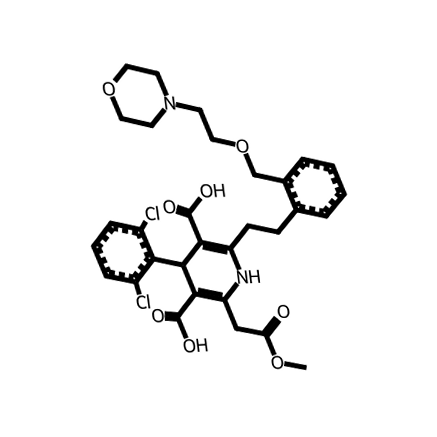 COC(=O)CC1=C(C(=O)O)C(c2c(Cl)cccc2Cl)C(C(=O)O)=C(CCc2ccccc2COCCN2CCOCC2)N1